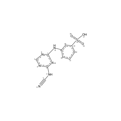 N#CNc1n[c]nc(Nc2cccc(S(=O)(=O)O)c2)n1